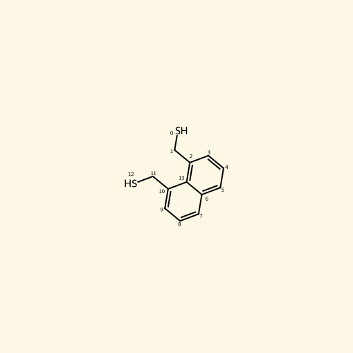 SCc1cccc2cccc(CS)c12